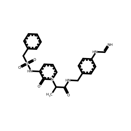 CC(C(=O)NCc1ccc(NC=N)cc1)n1cccc(NS(=O)(=O)Cc2ccccc2)c1=O